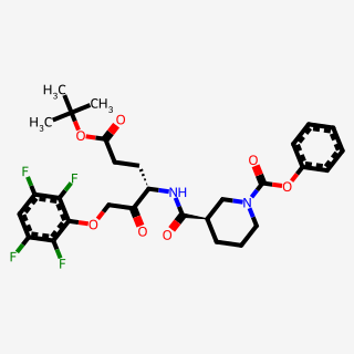 CC(C)(C)OC(=O)CC[C@H](NC(=O)[C@@H]1CCCN(C(=O)Oc2ccccc2)C1)C(=O)COc1c(F)c(F)cc(F)c1F